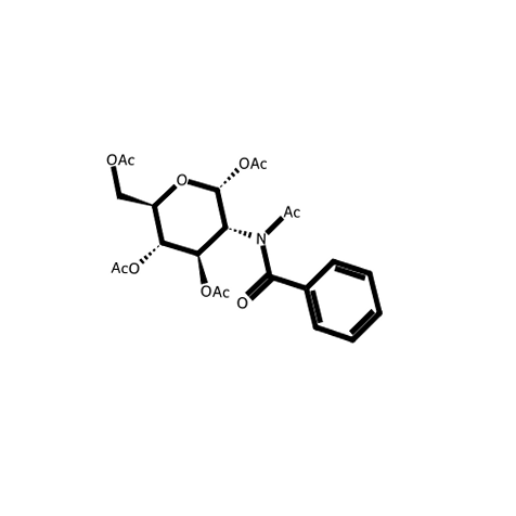 CC(=O)OC[C@H]1O[C@H](OC(C)=O)[C@H](N(C(C)=O)C(=O)c2ccccc2)[C@@H](OC(C)=O)[C@@H]1OC(C)=O